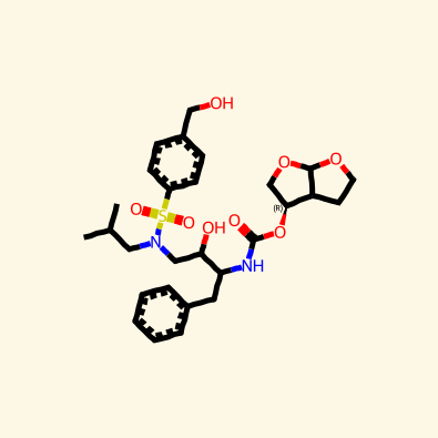 CC(C)CN(CC(O)C(Cc1ccccc1)NC(=O)O[C@H]1COC2OCCC21)S(=O)(=O)c1ccc(CO)cc1